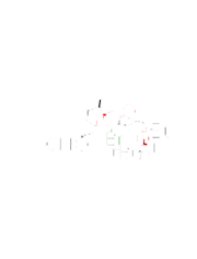 C=C1C(C[C@@H]2OC(C[C@@H](CC)O[Si](C)(C)C(C)(C)C)[C@H](C)[C@H]2CBr)O[C@@H](CCC=O)C[C@H]1C